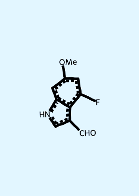 COc1cc(F)c2c(C=O)c[nH]c2c1